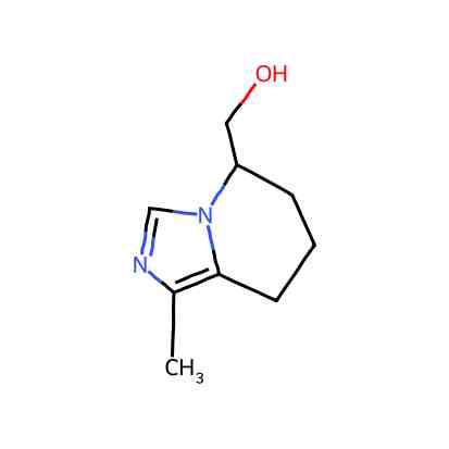 Cc1ncn2c1CCCC2CO